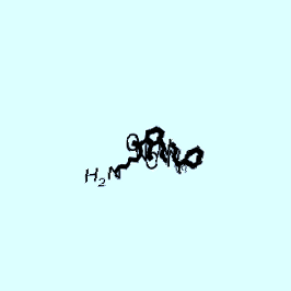 C[C@H](c1ccccc1)N1CCN(c2cccc3c2C(=O)N(CCCCN)C3=O)CC1